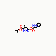 CC(C)COC(=O)[C@@H](N)C(C)CC(C)COC(=O)[C@@H](N)Cc1ccccc1